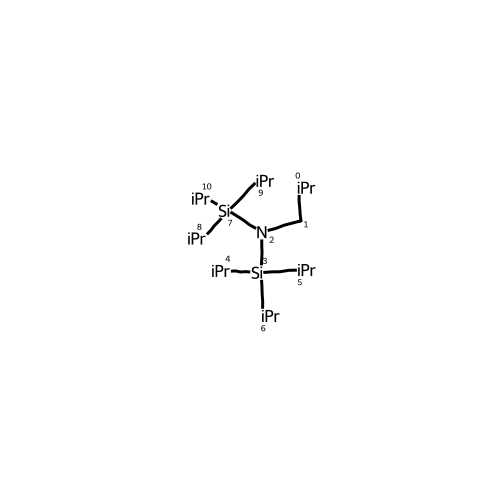 CC(C)CN([Si](C(C)C)(C(C)C)C(C)C)[Si](C(C)C)(C(C)C)C(C)C